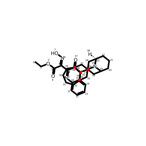 CCOC(=O)/C(=N\O)c1nc2ccccc2n(C2CC3CCC[C@H](C2)N3C2CC3CCCCC(C3)C2)c1=O